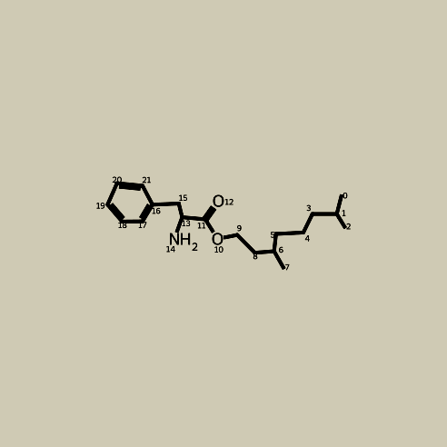 CC(C)CCCC(C)CCOC(=O)C(N)Cc1ccccc1